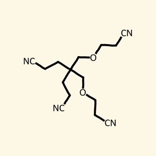 N#CCCOCC(CCC#N)(CCC#N)COCCC#N